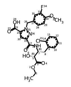 CCOC(=O)[C@H](O)[C@@H](Cc1ccccc1Cl)NC(=O)c1cc(C(=O)O)n(Cc2ccc(OC)c(F)c2)n1